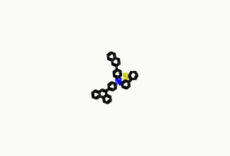 C1=Cc2c(sc3c(N(c4ccc(-c5ccc6ccccc6c5)cc4)c4ccc(-c5cc6ccccc6c6ccccc56)cc4)cccc23)CC1